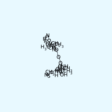 C=C1N(c2ccc(C#N)c(C(F)(F)F)c2F)C(=O)C(C)(C)N1c1cnc(OCCCCOCCCOCC(=O)N[C@H](C(=O)N2C[C@H](O)C[C@H]2C(=O)NCc2ccc(-c3scnc3C)cc2)C(C)(C)C)cc1OC